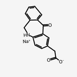 O=C([O-])Cc1ccc2c(c1)C(=O)c1ccccc1CN2.[Na+]